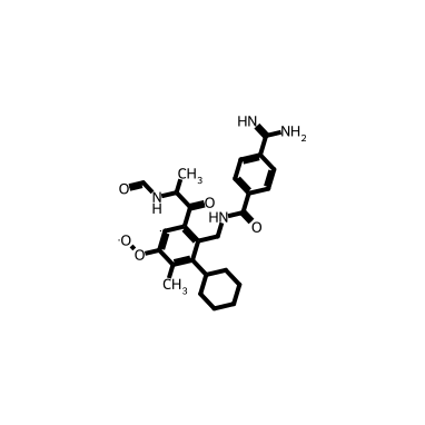 Cc1c(O[O])[c]c(C(=O)C(C)NC=O)c(CNC(=O)c2ccc(C(=N)N)cc2)c1C1CCCCC1